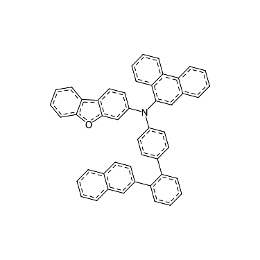 c1ccc(-c2ccc3ccccc3c2)c(-c2ccc(N(c3ccc4c(c3)oc3ccccc34)c3cc4ccccc4c4ccccc34)cc2)c1